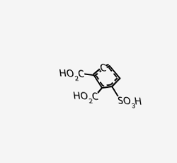 O=C(O)c1cccc(S(=O)(=O)O)c1C(=O)O